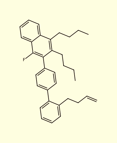 C=CCCc1ccccc1-c1ccc(-c2c(CCCC)c(CCCC)c3ccccc3c2F)cc1